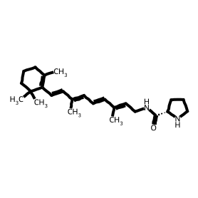 CC1=C(/C=C/C(C)=C/C=C/C(C)=C/CNC(=O)[C@@H]2CCCN2)C(C)(C)CCC1